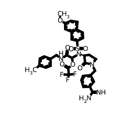 COc1ccc2ccc(S(=O)(=O)N(C(OC(=O)C(F)(F)F)C(=O)NCc3ccc(C)cc3)[C@H]3CCN(Cc4cccc(C(=N)N)c4)C3=O)cc2c1